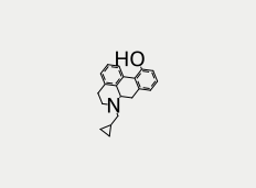 Oc1cccc2c1-c1cccc3c1C(C2)N(CC1CC1)CC3